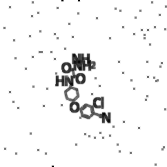 N#Cc1ccc(OC2CCC(NC(=O)C(=O)NN)CC2)cc1Cl